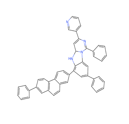 C1=C(c2cccnc2)N=C(c2ccccc2)N2c3cc(-c4ccccc4)cc(-c4ccc5c(ccc6cc(-c7ccccc7)ccc65)c4)c3NC12